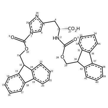 O=C(N[C@H](Cc1cn(C(=O)OCC2c3ccccc3-c3ccccc32)cn1)C(=O)O)OCC1c2ccccc2-c2ccccc21